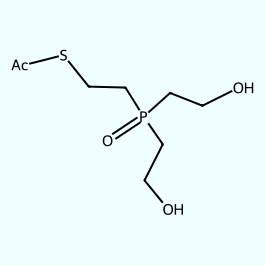 CC(=O)SCCP(=O)(CCO)CCO